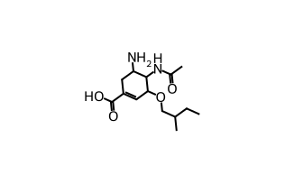 CCC(C)COC1C=C(C(=O)O)CC(N)C1NC(C)=O